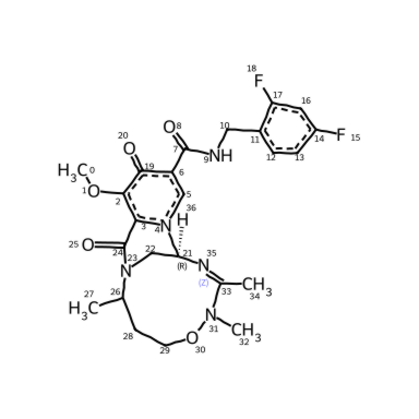 COc1c2n(cc(C(=O)NCc3ccc(F)cc3F)c1=O)[C@@H]1CN(C2=O)C(C)CCON(C)/C(C)=N\1